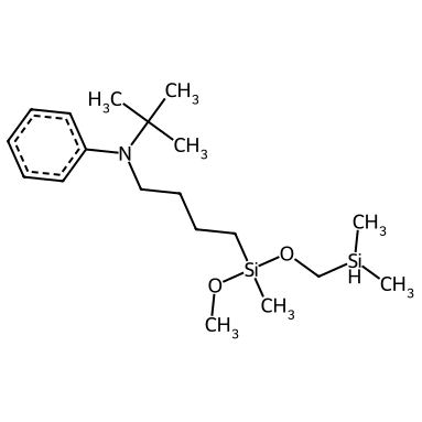 CO[Si](C)(CCCCN(c1ccccc1)C(C)(C)C)OC[SiH](C)C